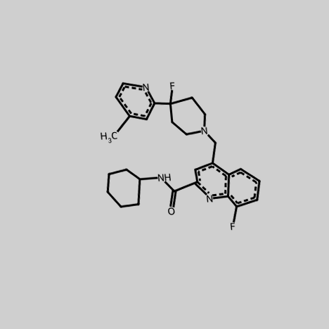 Cc1ccnc(C2(F)CCN(Cc3cc(C(=O)NC4CCCCC4)nc4c(F)cccc34)CC2)c1